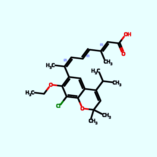 CCOc1c(\C(C)=C/C=C/C(C)=C/C(=O)O)cc2c(c1Cl)OC(C)(C)C=C2C(C)C